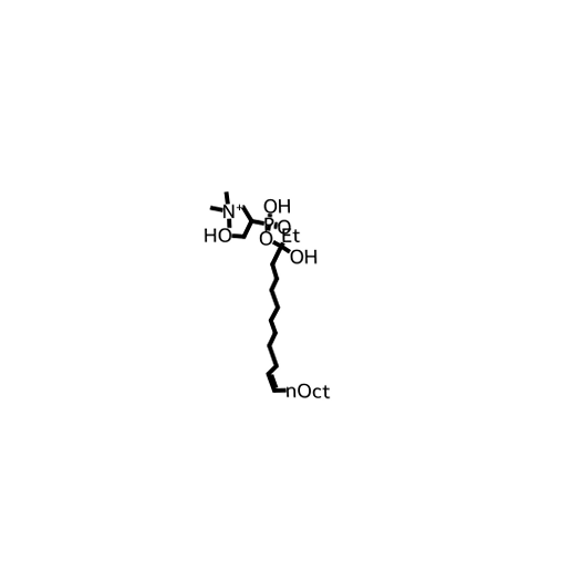 CCCCCCCC/C=C\CCCCCCCCC(O)(CC)OP(=O)(O)C(CO)C[N+](C)(C)C